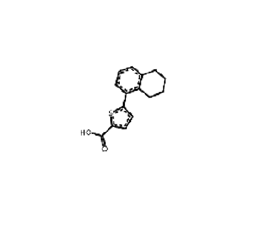 O=C(O)c1ccc(-c2cccc3c2CCCC3)s1